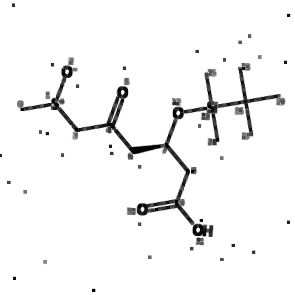 C[S+]([O-])CC(=O)C[C@H](CC(=O)O)O[Si](C)(C)C(C)(C)C